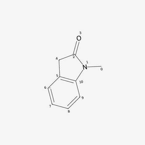 CN1C(=O)Cc2[c]cccc21